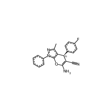 Cc1nn(-c2ccccc2)c2c1[C@@H](c1ccc(F)cc1)C(C#N)=C(N)O2